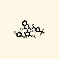 Cc1nc(Nc2ccc(F)cc2)nc(N2C(OC(=O)c3ccc(C(F)(F)F)cc3)Cc3ccccc3C2C)c1C